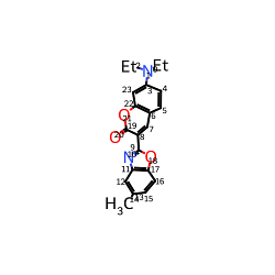 CCN(CC)c1ccc2cc(-c3nc4cc(C)ccc4o3)c(=O)oc2c1